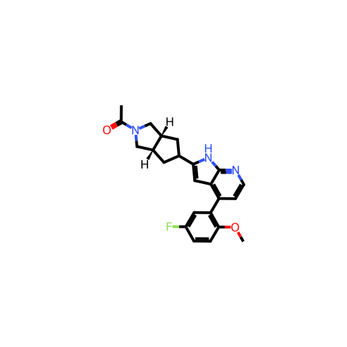 COc1ccc(F)cc1-c1ccnc2[nH]c(C3C[C@@H]4CN(C(C)=O)C[C@@H]4C3)cc12